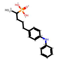 O=P(O)(O)C(CCCc1ccc(Nc2ccccc2)cc1)S(=O)(=O)O